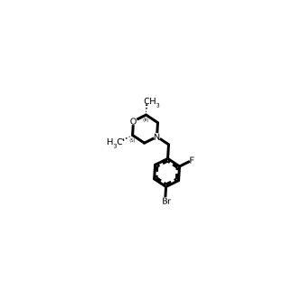 C[C@@H]1CN(Cc2ccc(Br)cc2F)C[C@H](C)O1